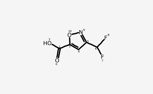 O=C(O)c1cc(C(F)F)no1